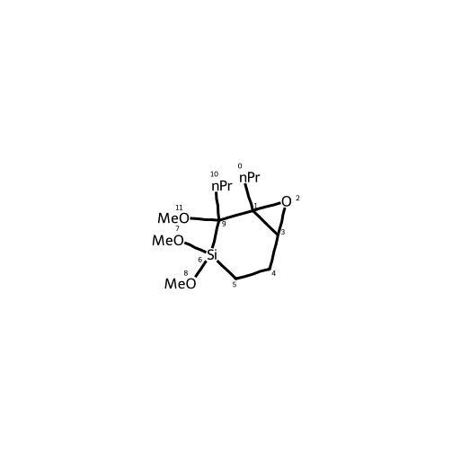 CCCC12OC1CC[Si](OC)(OC)C2(CCC)OC